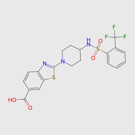 O=C(O)c1ccc2nc(N3CCC(NS(=O)(=O)c4ccccc4C(F)(F)F)CC3)sc2c1